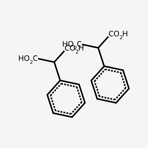 O=C(O)C(C(=O)O)c1ccccc1.O=C(O)C(C(=O)O)c1ccccc1